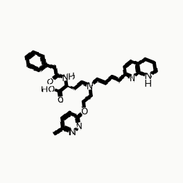 Cc1ccc(OCCN(CCCCc2ccc3c(n2)NCCC3)CC[C@H](NC(=O)Cc2ccccc2)C(=O)O)nn1